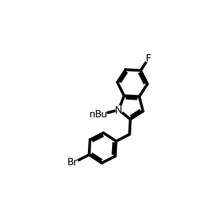 CCCCn1c(Cc2ccc(Br)cc2)cc2cc(F)ccc21